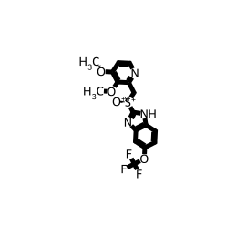 COc1ccnc(C[S@@+]([O-])c2nc3cc(OC(F)(F)F)ccc3[nH]2)c1OC